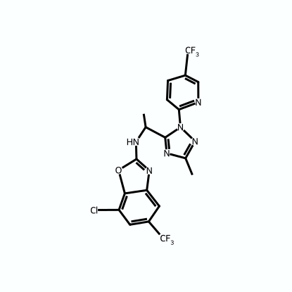 Cc1nc(C(C)Nc2nc3cc(C(F)(F)F)cc(Cl)c3o2)n(-c2ccc(C(F)(F)F)cn2)n1